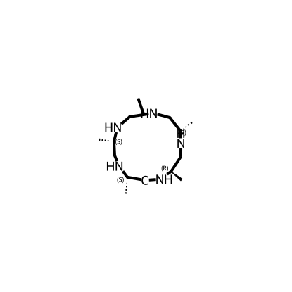 CC1CN[C@@H](C)CN[C@@H](C)CN[C@H](C)CN[C@@H](C)CN1